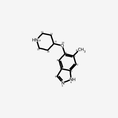 Cc1cc2[nH]ncc2cc1OC1CCNCC1